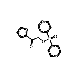 O=C(COP(=O)(c1ccccc1)c1ccccc1)c1cccs1